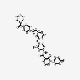 O=C(Nc1ccc(Cc2ccnc3cc(-c4ccc(C(=O)N5CCOCC5)cc4)sc23)c(F)c1)c1ccnn(-c2ccc(F)cc2)c1=O